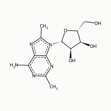 Cc1nc(N)c2nc(C)n([C@@H]3O[C@H](CO)[C@@H](O)[C@H]3O)c2n1